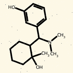 CN(C)C(c1cccc(O)c1)C1CCCCC1(C)O